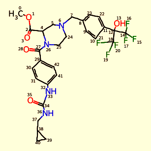 COC(=O)C1CN(Cc2ccc(C(O)(C(F)(F)F)C(F)(F)F)cc2)CCN1C(=O)c1ccc(NC(=O)NCC2CC2)cc1